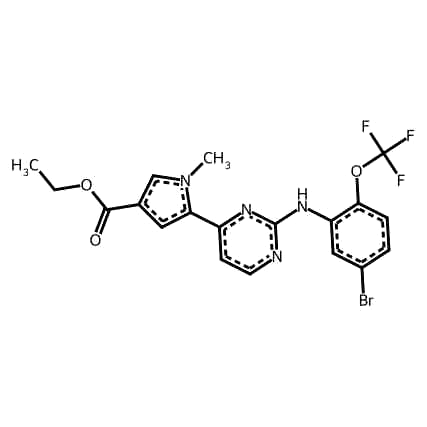 CCOC(=O)c1cc(-c2ccnc(Nc3cc(Br)ccc3OC(F)(F)F)n2)n(C)c1